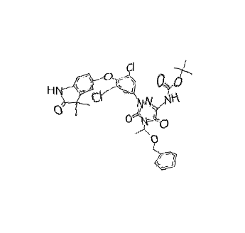 CC(OCc1ccccc1)n1c(=O)c(NC(=O)OC(C)(C)C)nn(-c2cc(Cl)c(Oc3ccc4c(c3)C(C)(C)C(=O)N4)c(Cl)c2)c1=O